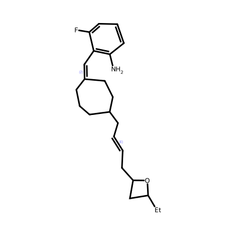 CCC1CC(C/C=C/CC2CCC/C(=C/c3c(N)cccc3F)CC2)O1